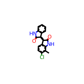 Cc1c(Cl)ccc2c1NC(=O)C2=C1C(=O)Nc2ccccc21